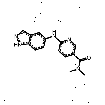 CN(C)C(=O)c1ccc(Nc2ccc3[nH]ncc3c2)nc1